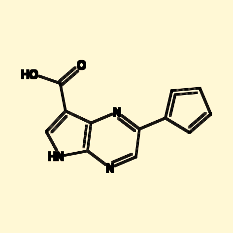 O=C(O)c1c[nH]c2ncc(C3=C=CC=C3)nc12